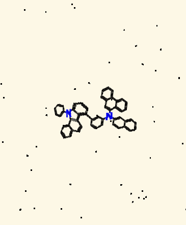 c1ccc(-n2c3cccc(-c4cccc(N(c5ccc6ccccc6c5)c5cc6ccccc6c6ccccc56)c4)c3c3ccc4ccccc4c32)cc1